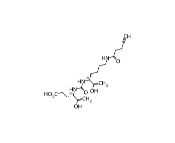 C#CCCC(=O)NCCCC[C@H](NC(=O)N[C@@H](CCC(=O)O)C(=C)O)C(=C)O